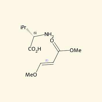 CC(C)[C@H](N)C(=O)O.CO/C=C/C(=O)OC